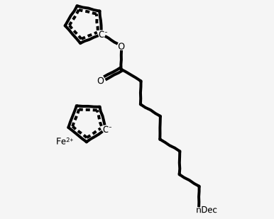 CCCCCCCCCCCCCCCCCC(=O)O[c-]1cccc1.[Fe+2].c1cc[cH-]c1